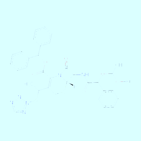 CCOC(C)OC(C(=O)NC1C(=O)N2C(C(=O)OC(c3ccccc3)c3ccccc3)=C(C(C)Sn3ncnn3)CS[C@@H]12)c1ccccc1